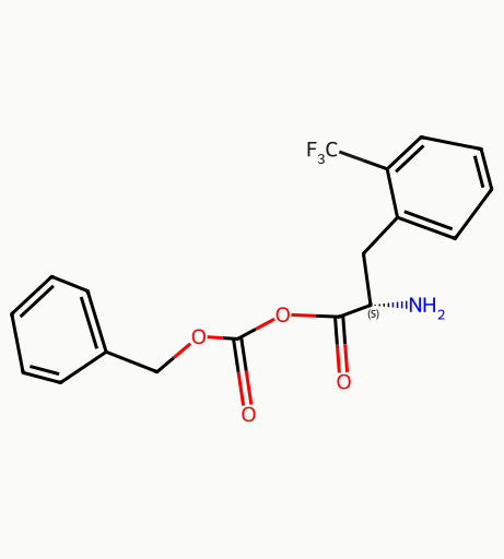 N[C@@H](Cc1ccccc1C(F)(F)F)C(=O)OC(=O)OCc1ccccc1